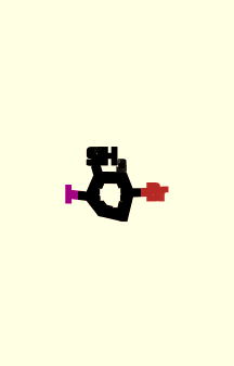 [SiH3]c1cc(Br)ccc1I